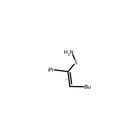 CCC(C)/C=C(\SN)C(C)C